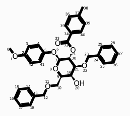 COc1ccc(O[C@@H]2O[C@H](COCc3ccccc3)[C@H](O)[C@H](OCc3ccccc3)[C@H]2OC(=O)c2ccc(C)cc2)cc1